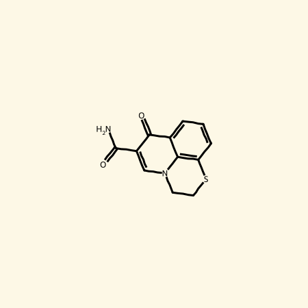 NC(=O)c1cn2c3c(cccc3c1=O)SCC2